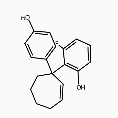 Oc1ccc(C2(c3c(O)cccc3F)C=CCCCC2)cc1